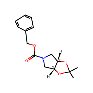 CC1(C)O[C@H]2CN(C(=O)OCc3ccccc3)C[C@H]2O1